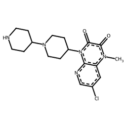 Cn1c(=O)c(=O)n(C2CCN(C3CCNCC3)CC2)c2ncc(Cl)cc21